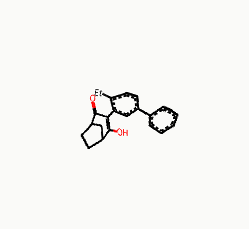 CCc1ccc(-c2ccccc2)cc1C1=C(O)C2CCC(C2)C1=O